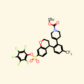 CC(C)(C)OC(=O)N1CC=C(c2cc(C(F)(F)F)ccc2C2CCOc3cc(S(=O)(=O)Oc4c(F)c(F)c(F)c(F)c4F)ccc32)CC1